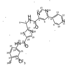 CC(NC(=O)c1cc(-c2ccncc2)ncn1)c1ncc(C(=O)Nc2ccc(F)c(C(F)(F)F)c2)s1